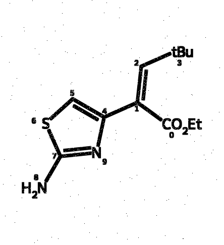 CCOC(=O)C(=CC(C)(C)C)c1csc(N)n1